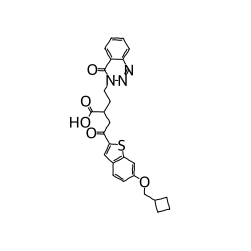 O=C(CC(CCn1nnc2ccccc2c1=O)C(=O)O)c1cc2ccc(OCC3CCC3)cc2s1